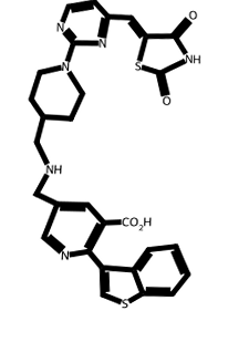 O=C1NC(=O)C(=Cc2ccnc(N3CCC(CNCc4cnc(-c5csc6ccccc56)c(C(=O)O)c4)CC3)n2)S1